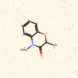 CCCCCCN1C(=O)C(CCC)Oc2ccccc21